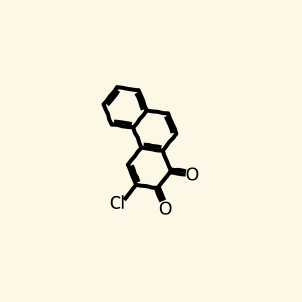 O=C1C(=O)c2ccc3ccccc3c2C=C1Cl